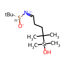 CC(C)(C)[S@@+]([O-])/N=C\CCC(C)(C)[Si](C)(C)O